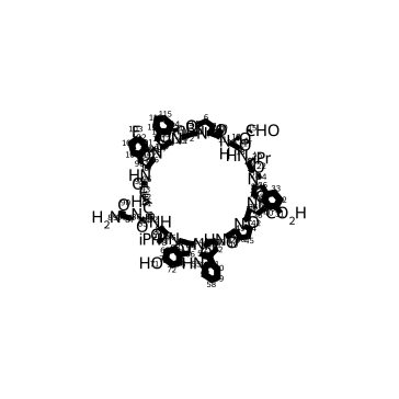 CCCC[C@H]1C(=O)N2CCC[C@@H]2C(=O)N[C@@H](COC=O)C(=O)N[C@@H](C(C)C)C(=O)N(C)[C@@H](Cc2ccc(C)cc2)C(=O)N[C@@H](CCC(=O)O)C(=O)N2CCC[C@@H]2C(=O)N[C@@H](Cc2c[nH]c3ccccc23)C(=O)N[C@@H](Cc2ccc(O)cc2)C(=O)N[C@@H](CC(C)C)C(=O)N[C@H](C(=O)NCC(N)=O)CSCC(=O)N[C@@H](Cc2ccc(F)cc2)C(=O)N(C)[C@@H](Cc2ccccc2)C(=O)N1C